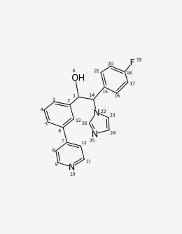 OC(c1cccc(-c2ccncc2)c1)C(c1ccc(F)cc1)n1ccnc1